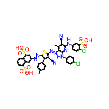 Cc1ccc(-c2c(/N=N/c3cc(S(=O)(=O)O)c4cccc(S(=O)(=O)O)c4c3)sc(N=Nc3c(Nc4ccc(Cl)cc4)nc(Nc4ccc(Cl)c(S(=O)(=O)O)c4)c(C#N)c3C)c2C#N)cc1